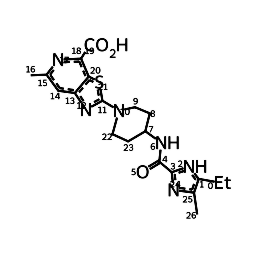 CCc1[nH]c(C(=O)NC2CCN(c3nc4cc(C)nc(C(=O)O)c4s3)CC2)nc1C